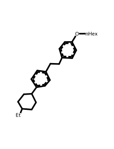 CCCCCCOc1ccc(CCc2ccc(C3CCC(CC)CC3)cc2)cc1